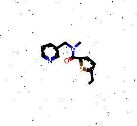 CCc1ccc(C(=O)N(C)Cc2cccnc2)s1